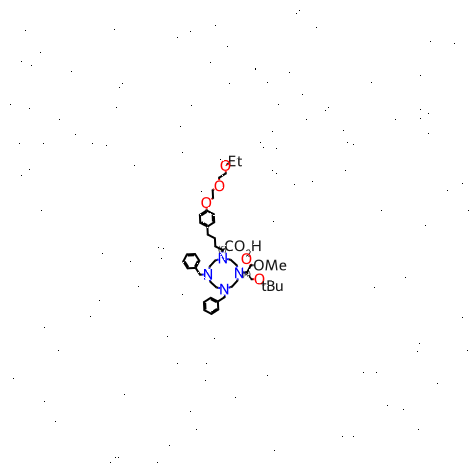 CCOCCOCCOc1ccc(CCC[C@@H](C(=O)O)N2CCN(Cc3ccccc3)CCN(Cc3ccccc3)CCN([C@H](COC(C)(C)C)C(=O)OC)CC2)cc1